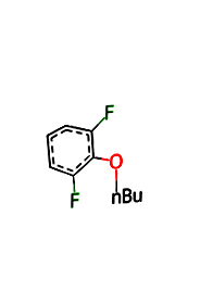 CCCCOc1c(F)cccc1F